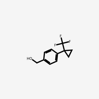 OCc1ccc(C2(C(F)(F)F)CC2)cc1